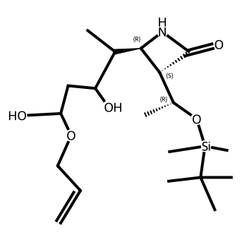 C=CCOC(O)CC(O)C(C)[C@H]1NC(=O)[C@@H]1[C@@H](C)O[Si](C)(C)C(C)(C)C